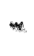 CC(C)(C)OC(=O)N[C@H](Cc1ccccc1)C(=O)N1CCC[C@H]1NC(=O)ON1C(=O)CCC1=O